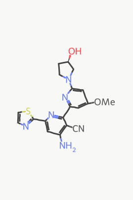 COc1cc(-c2nc(-c3nccs3)cc(N)c2C#N)nc(N2CC[C@@H](O)C2)c1